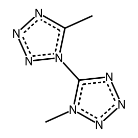 Cc1nnnn1-c1nnnn1C